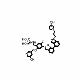 N#Cc1cncc(COc2cc(OCc3cccc(-c4cccc5c4cnn5CCCN4CC[C@@H](O)C4)c3Br)c(Cl)cc2CN[C@@H](CO)C(=O)O)c1